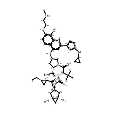 CC[C@@H]1C[C@]1(NC(=O)[C@@H]1C[C@@H](Oc2cc(-c3coc(NC4CC4)n3)nc3c(Cl)c(OCCOC)ccc23)CN1C(=O)[C@@H](CC(=O)O[C@@H]1C[C@@H]2C[C@@H]2C1)C(C)(C)C)C(=O)O